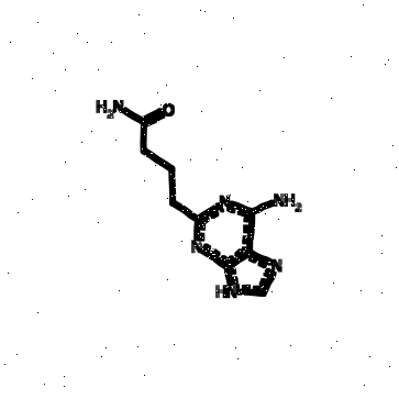 NC(=O)CCCc1nc(N)c2nc[nH]c2n1